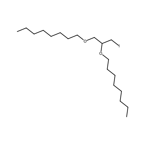 CCCCCCCCOCC(CI)OCCCCCCCC